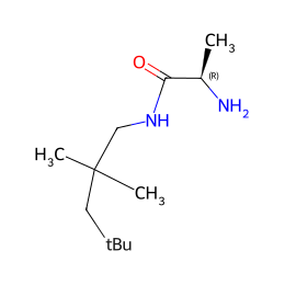 C[C@@H](N)C(=O)NCC(C)(C)CC(C)(C)C